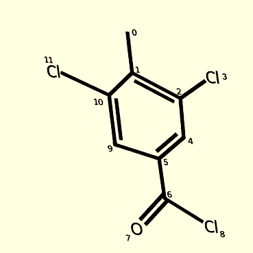 Cc1c(Cl)cc(C(=O)Cl)cc1Cl